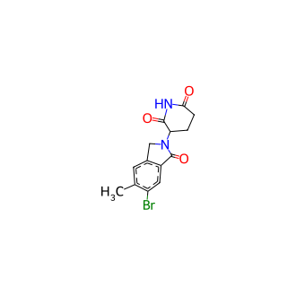 Cc1cc2c(cc1Br)C(=O)N(C1CCC(=O)NC1=O)C2